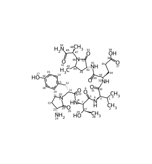 CC(C)[C@@H](NC(=O)[C@H](NC(=O)[C@@H](Cc1ccc(O)cc1)N1CC[C@@H](N)C1=O)[C@@H](C)O)C(=O)N[C@H](CCC(=O)O)C(=O)N[C@@H]1CC(C)N([C@H](C)C(N)=O)C1=O